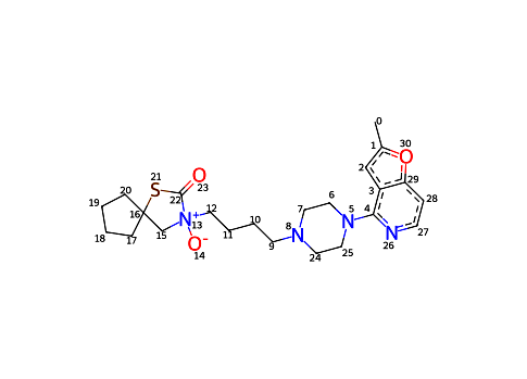 Cc1cc2c(N3CCN(CCCC[N+]4([O-])CC5(CCCC5)SC4=O)CC3)nccc2o1